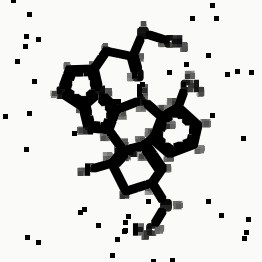 COC(=O)Cc1csc2nc(C3=C(F)CC(OC)C=C3F)c(Nc3c(C)cccc3C)n12